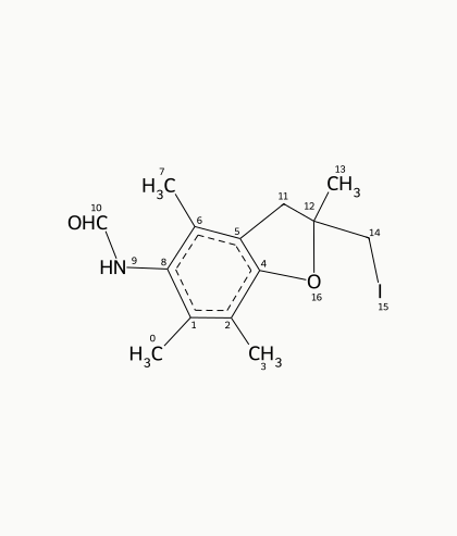 Cc1c(C)c2c(c(C)c1NC=O)CC(C)(CI)O2